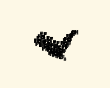 Fc1cc(N(C(F)(F)C(F)(F)F)C(F)(F)C(F)(F)F)c(F)c(C(F)(F)F)c1F.Fc1ccc(-c2c(F)c(F)c(F)c(F)c2F)c(F)c1F.Fc1ccc(-c2c(F)c(F)c(F)c(F)c2F)c(F)c1F.Fc1ccc(-c2c(F)c(F)c(F)c(F)c2F)c(F)c1F.Fc1ccc(-c2c(F)c(F)c(F)c(F)c2F)c(F)c1F.[O]=[Al][OH]